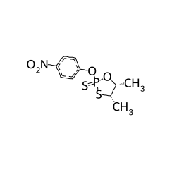 C[C@@H]1SP(=S)(Oc2ccc([N+](=O)[O-])cc2)O[C@@H]1C